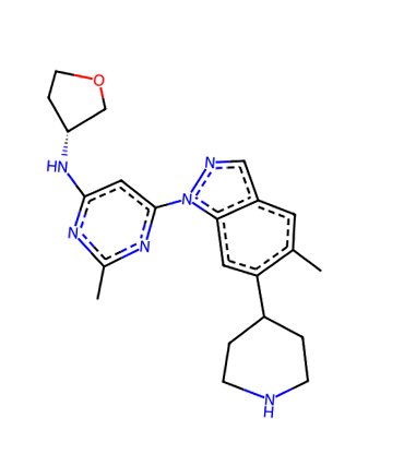 Cc1nc(N[C@@H]2CCOC2)cc(-n2ncc3cc(C)c(C4CCNCC4)cc32)n1